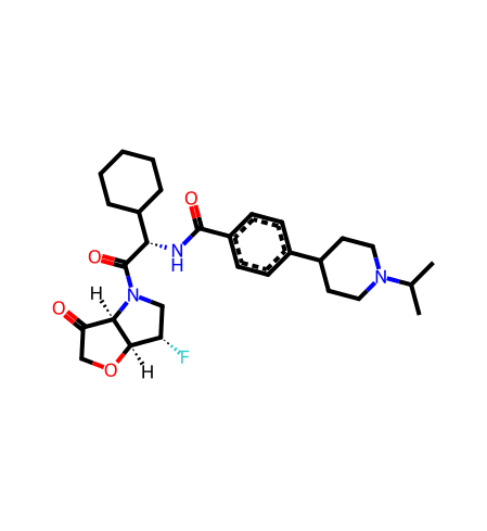 CC(C)N1CCC(c2ccc(C(=O)N[C@H](C(=O)N3C[C@H](F)[C@H]4OCC(=O)[C@H]43)C3CCCCC3)cc2)CC1